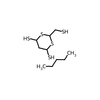 CCCCC.SCC1SC(S)CC(S)S1